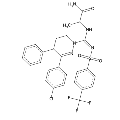 CC(N/C(=N/S(=O)(=O)c1ccc(C(F)(F)F)cc1)N1CCC(c2ccccc2)C(c2ccc(Cl)cc2)=N1)C(N)=O